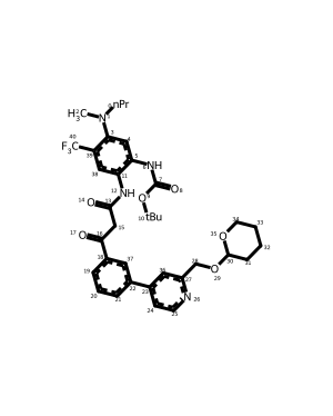 CCCN(C)c1cc(NC(=O)OC(C)(C)C)c(NC(=O)CC(=O)c2cccc(-c3ccnc(COC4CCCCO4)c3)c2)cc1C(F)(F)F